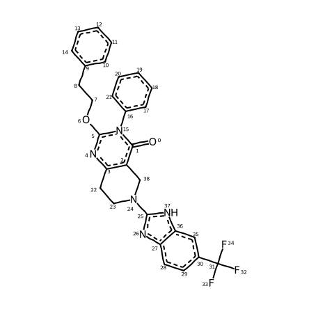 O=c1c2c(nc(OCCc3ccccc3)n1-c1ccccc1)CCN(c1nc3ccc(C(F)(F)F)cc3[nH]1)C2